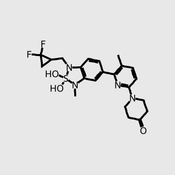 Cc1ccc(N2CCC(=O)CC2)nc1-c1ccc2c(c1)N(C)S(O)(O)N2CC1CC1(F)F